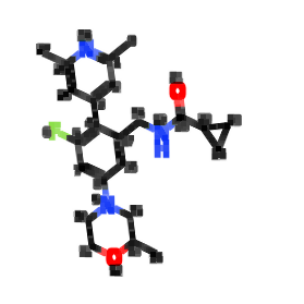 Cc1cc(-c2c(F)cc(N3CCOC(C)C3)cc2CNC(=O)C2CC2)cc(C)n1